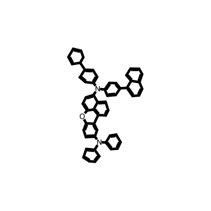 C1=CCC(c2ccc(N(c3ccc(-c4cccc5ccccc45)cc3)c3ccc4c5c(cccc35)-c3cc(N(c5ccccc5)c5ccccc5)ccc3O4)cc2)C=C1